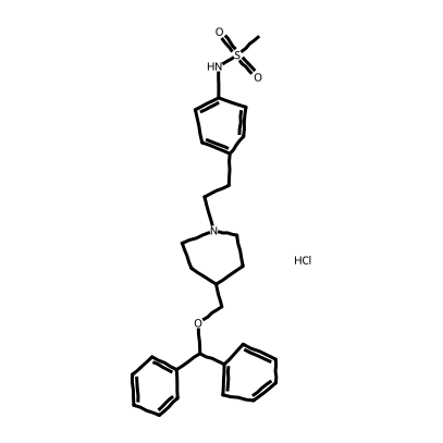 CS(=O)(=O)Nc1ccc(CCN2CCC(COC(c3ccccc3)c3ccccc3)CC2)cc1.Cl